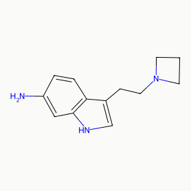 Nc1ccc2c(CCN3CCC3)c[nH]c2c1